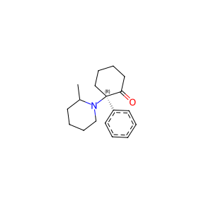 CC1CCCCN1[C@@]1(c2ccccc2)CCCCC1=O